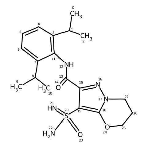 CC(C)c1cccc(C(C)C)c1NC(=O)c1nn2c(c1S(=N)(N)=O)OCCC2